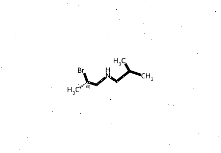 CC(C)CNC[C@H](C)Br